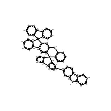 c1ccc2c(c1)Sc1cc3c(cc1C21c2cccnc2-c2ncc(-c4ccc5c(c4)oc4ccccc45)cc21)-c1ccccc1C31c2ccccc2-c2ccccc21